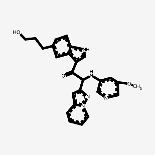 COc1cncc(NC(C(=O)c2c[nH]c3ccc(CCCO)cc23)c2cc3ccccn3n2)c1